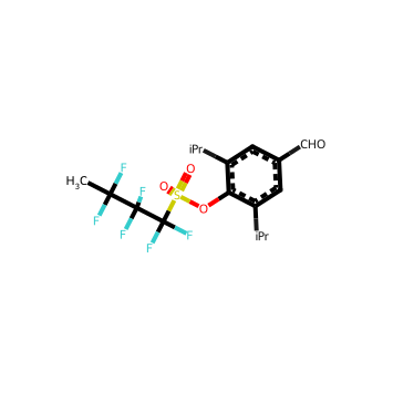 CC(C)c1cc(C=O)cc(C(C)C)c1OS(=O)(=O)C(F)(F)C(F)(F)C(C)(F)F